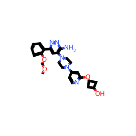 COCOc1ccccc1-c1cc(N2CCN(c3ccnc(OC4CC(O)C4)c3)CC2)c(N)nn1